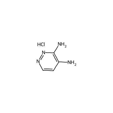 Cl.Nc1ccnnc1N